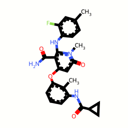 Cc1ccc(Nc2c(C(N)=O)c(Oc3cccc(NC(=O)C4CC4)c3C)cc(=O)n2C)c(F)c1